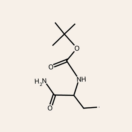 [CH2]CC(NC(=O)OC(C)(C)C)C(N)=O